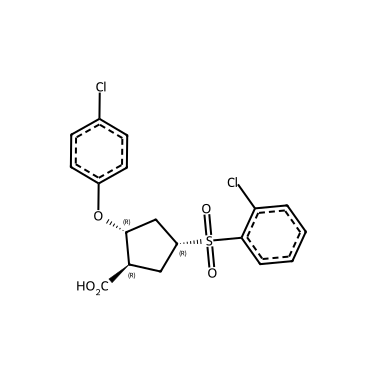 O=C(O)[C@@H]1C[C@@H](S(=O)(=O)c2ccccc2Cl)C[C@H]1Oc1ccc(Cl)cc1